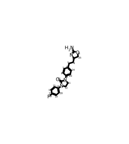 NC1=NC(CCc2ccc(N3CCN(c4ccc(F)cc4)C3=O)cc2)CO1